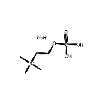 C[N+](C)(C)CCOP(=O)(O)O.[NaH]